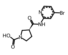 O=C(Nc1cc(Br)ccn1)[C@H]1CCN(C(=O)O)C1